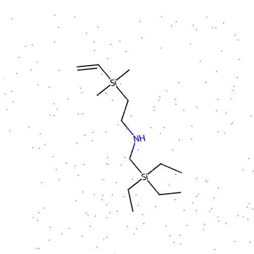 C=C[Si](C)(C)CCNC[Si](CC)(CC)CC